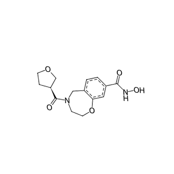 O=C(NO)c1ccc2c(c1)OCCN(C(=O)[C@H]1CCOC1)C2